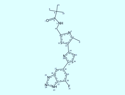 Cc1nc(CNC(=O)C(C)(C)C)sc1-c1csc(-c2cc(F)c3[nH]nnc3c2)n1